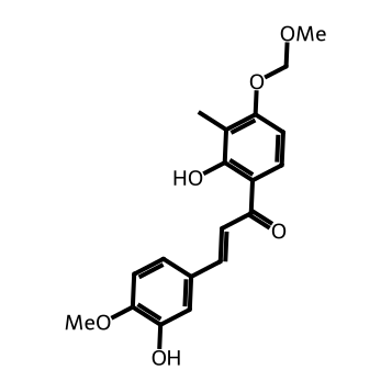 COCOc1ccc(C(=O)/C=C/c2ccc(OC)c(O)c2)c(O)c1C